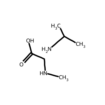 CC(C)N.CNCC(=O)O